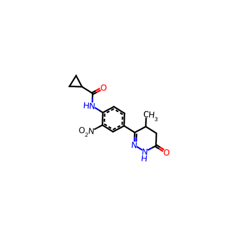 CC1CC(=O)NN=C1c1ccc(NC(=O)C2CC2)c([N+](=O)[O-])c1